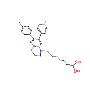 Cc1ccc(-c2cc3c(nc2-c2ccc(C)cc2)CCCN3CCCCCCC(O)O)cc1